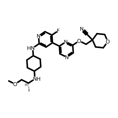 COC[C@@H](C)NC1CCC(Nc2cc(-c3cncc(OCC4(C#N)CCOCC4)n3)c(F)cn2)CC1